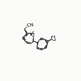 N#CCc1ccc(-c2cccc(Cl)c2)s1